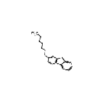 CCCCCCCc1[c]c2c(cc1)-c1ccccc1C2